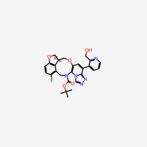 CC(C)(C)OC(=O)N1Cc2c(F)ccc3c2[C@H](CO3)COc2cc(-c3cccnc3CO)c3nncn3c21